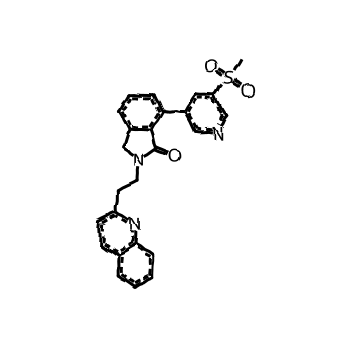 CS(=O)(=O)c1cncc(-c2cccc3c2C(=O)N(CCc2ccc4ccccc4n2)C3)c1